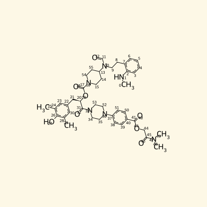 CNc1ccccc1CCN(C=O)C1CCN(C(=O)O[C@H](Cc2cc(C)c(O)c(C)c2)C(=O)N2CCN(c3ccc(C(=O)OCC(=O)N(C)C)cc3)CC2)CC1